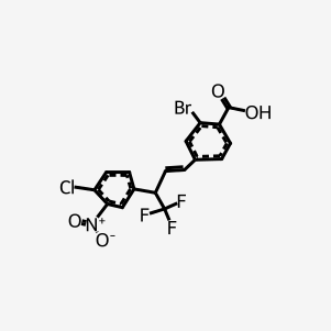 O=C(O)c1ccc(C=CC(c2ccc(Cl)c([N+](=O)[O-])c2)C(F)(F)F)cc1Br